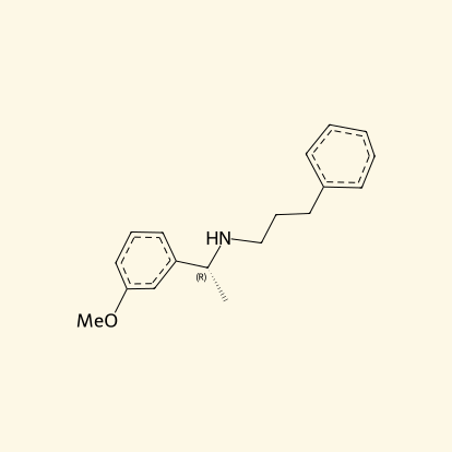 COc1cccc([C@@H](C)NCCCc2ccccc2)c1